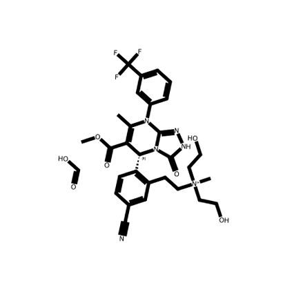 COC(=O)C1=C(C)N(c2cccc(C(F)(F)F)c2)c2n[nH]c(=O)n2[C@@H]1c1ccc(C#N)cc1CC[N+](C)(CCO)CCO.O=CO